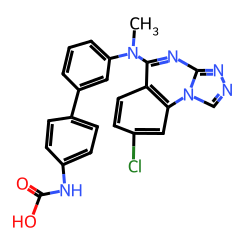 CN(c1cccc(-c2ccc(NC(=O)O)cc2)c1)c1nc2nncn2c2cc(Cl)ccc12